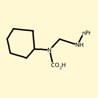 CCCNCN(C(=O)O)C1CCCCC1